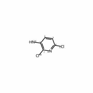 [NH]c1ccc(Cl)nc1Cl